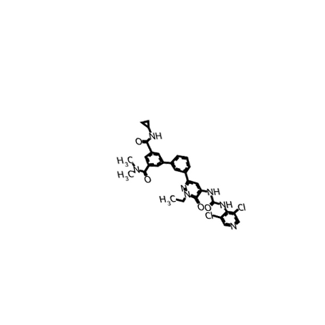 CCn1nc(-c2cccc(-c3cc(C(=O)NC4CC4)cc(C(=O)N(C)C)c3)c2)cc(NC(=O)Nc2c(Cl)cncc2Cl)c1=O